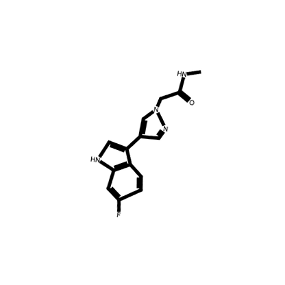 CNC(=O)Cn1cc(-c2c[nH]c3cc(F)ccc23)cn1